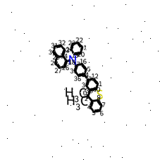 CC1(C)c2ccccc2Sc2ccc(-c3ccc(N(c4ccccc4)c4cccc5ccccc45)cc3)cc21